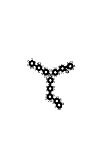 c1ccc(-c2ccc(-c3ccc(N(c4ccc(-c5ccc(-c6cccc(-c7ccc8ccccc8c7)c6)cc5)cc4)c4ccc(-c5ccc6c(c5)sc5ccccc56)cc4)cc3)cc2)cc1